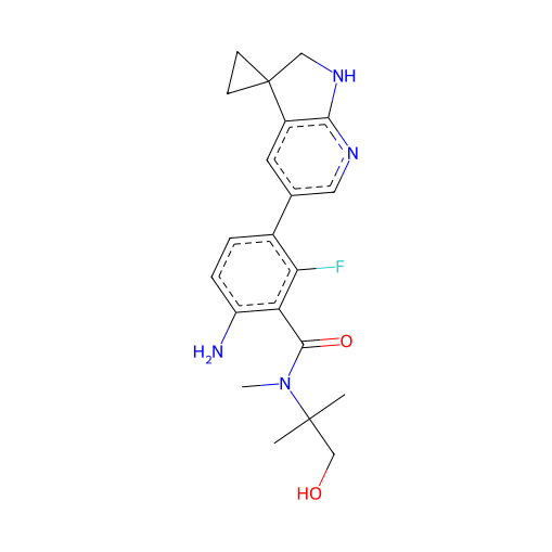 CN(C(=O)c1c(N)ccc(-c2cnc3c(c2)C2(CC2)CN3)c1F)C(C)(C)CO